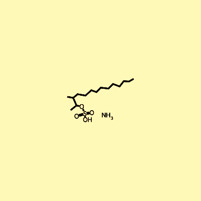 CCCCCCCCCCCC(C)C(C)OS(=O)(=O)O.N